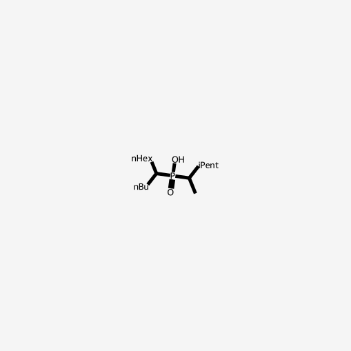 CCCCCCC(CCCC)P(=O)(O)C(C)C(C)CCC